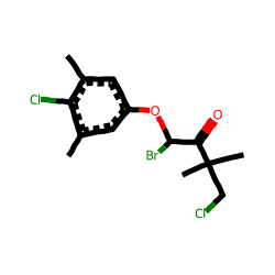 Cc1cc(OC(Br)C(=O)C(C)(C)CCl)cc(C)c1Cl